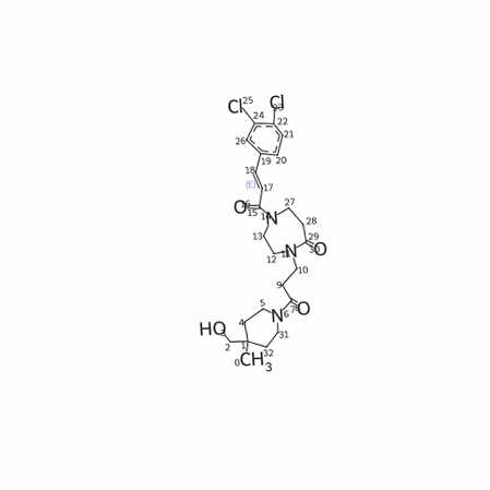 CC1(CO)CCN(C(=O)CCN2CCN(C(=O)/C=C/c3ccc(Cl)c(Cl)c3)CCC2=O)CC1